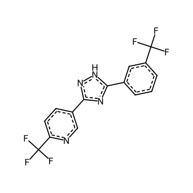 FC(F)(F)c1cccc(-c2nc(-c3ccc(C(F)(F)F)nc3)n[nH]2)c1